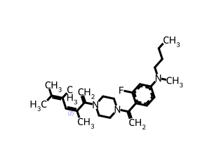 C=C(/C(C)=C\C(C)=C(C)C)N1CCN(C(=C)c2ccc(N(C)CCCC)cc2F)CC1